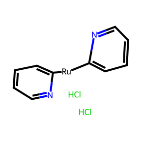 Cl.Cl.c1cc[c]([Ru][c]2ccccn2)nc1